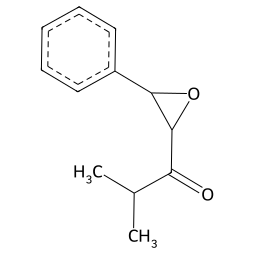 CC(C)C(=O)C1OC1c1ccccc1